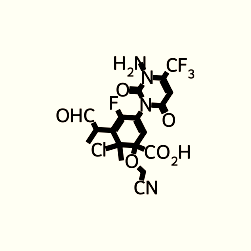 CC(C=O)C1=C(F)C(n2c(=O)cc(C(F)(F)F)n(N)c2=O)=CC(OCC#N)(C(=O)O)C1(C)Cl